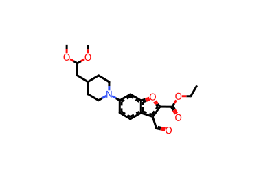 CCOC(=O)c1oc2cc(N3CCC(CC(OC)OC)CC3)ccc2c1C=O